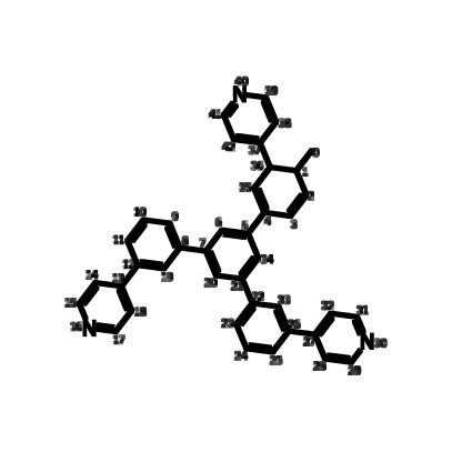 CC1C=CC(c2cc(-c3cccc(-c4ccncc4)c3)cc(-c3cccc(-c4ccncc4)c3)c2)=CC1c1ccncc1